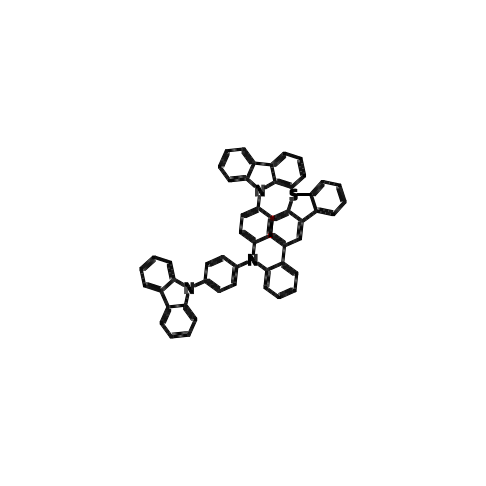 c1ccc(N(c2ccc(-n3c4ccccc4c4ccccc43)cc2)c2ccc(-n3c4ccccc4c4ccccc43)cc2)c(-c2ccc3sc4ccccc4c3c2)c1